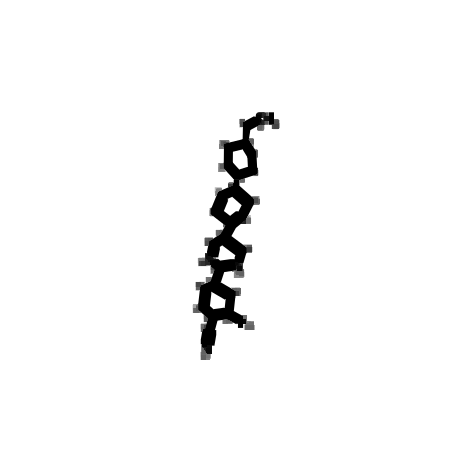 CC[C@H]1CC[C@H](c2ccc(-c3cnc(-c4ccc(C#N)c(F)c4)nc3)cc2)CC1